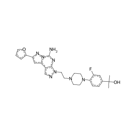 CC(C)(O)c1ccc(N2CCN(CCn3ncc4c3nc(N)n3nc(-c5ccco5)cc43)CC2)c(F)c1